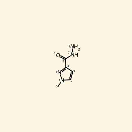 Cn1ccc(C(=O)NN)n1